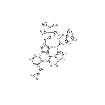 CC(C)(OCc1cc(-c2cccc(OC3CC3)c2)n(-c2cccc3cnn(COCC[Si](C)(C)C)c23)n1)C(=O)O